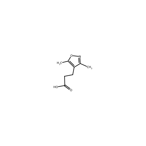 Cc1noc(C)c1CCC(=O)O